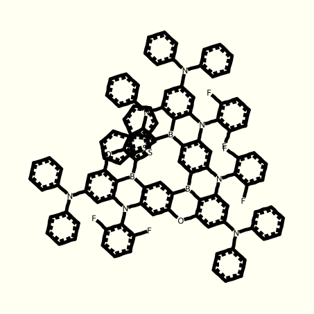 Fc1cccc(F)c1N1c2cc3c(cc2B2c4cc5c(cc4Oc4cc(N(c6ccccc6)c6ccccc6)cc1c42)N(c1c(F)cccc1F)c1cc(N(c2ccccc2)c2ccccc2)cc2c1B5c1sc4ccccc4c1O2)B1c2sc4ccccc4c2N(c2ccccc2)c2cc(N(c4ccccc4)c4ccccc4)cc(c21)N3c1c(F)cccc1F